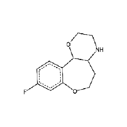 Fc1ccc2c(c1)OCCC1NCCOC21